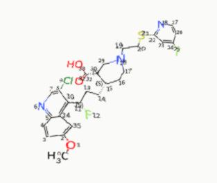 COc1ccc2ncc(Cl)c([C@@H](F)CC[C@H]3CCN(CCSc4cc(F)ccn4)C[C@H]3C(=O)O)c2c1